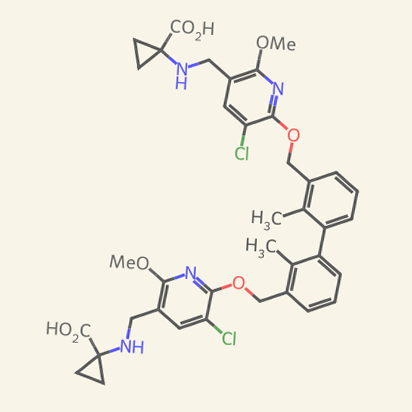 COc1nc(OCc2cccc(-c3cccc(COc4nc(OC)c(CNC5(C(=O)O)CC5)cc4Cl)c3C)c2C)c(Cl)cc1CNC1(C(=O)O)CC1